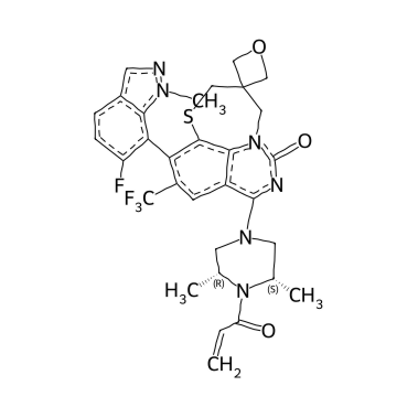 C=CC(=O)N1[C@H](C)CN(c2nc(=O)n3c4c(c(-c5c(F)ccc6cnn(C)c56)c(C(F)(F)F)cc24)SCC2(COC2)C3)C[C@@H]1C